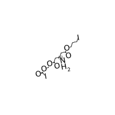 N[C@@H](CC(=O)OCCCI)CC(=O)OCOC(=O)I